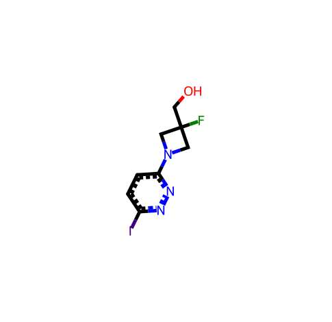 OCC1(F)CN(c2ccc(I)nn2)C1